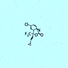 O=C1N=C2C=CC(Cl)=CC2C(C#CC2CC2)(C(F)(F)F)O1